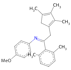 COc1ccc(/N=C(/CC2=C(C)C(C)=C(C)C2)c2c(C)cccc2C)cc1